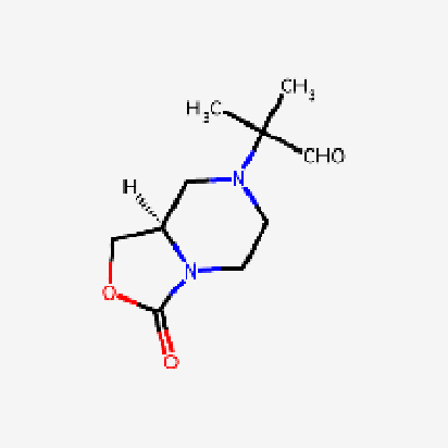 CC(C)(C=O)N1CCN2C(=O)OC[C@H]2C1